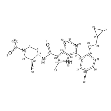 CCC(=O)N1CC[C@H](NC(=O)c2c(C)[nH]c3c(-c4cc(F)ccc4OCC4CC4)ncnc23)[C@@H](F)C1